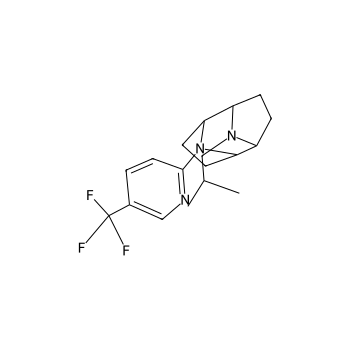 CC(C)CN1C2CCC1C1CCC2N1c1ccc(C(F)(F)F)cn1